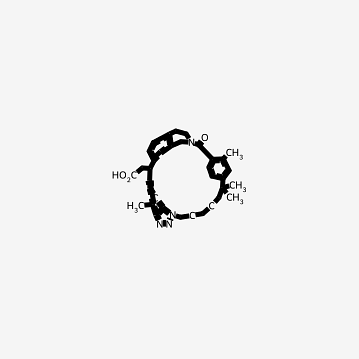 Cc1cc2ccc1C(=O)N1CCc3ccc(cc3C1)C(CC(=O)O)c1ccc3c(nnn3CCCCCC2(C)C)c1C